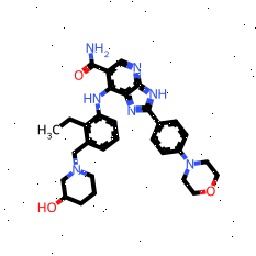 CCc1c(CN2CCCC(O)C2)cccc1Nc1c(C(N)=O)cnc2[nH]c(-c3ccc(N4CCOCC4)cc3)nc12